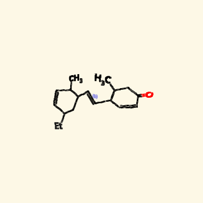 CCC1C=CC(C)C(/C=C/C2C=CC(=O)CC2C)C1